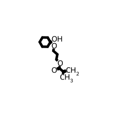 C=C(C)C(=O)OCCCOC1(O)CCCCC1